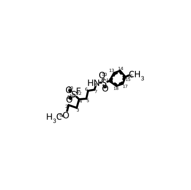 COCCC(CCCNS(=O)(=O)c1ccc(C)cc1)S(=O)(=O)F